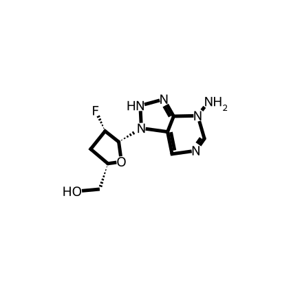 NN1C=NC=C2C1=NNN2[C@@H]1O[C@H](CO)C[C@@H]1F